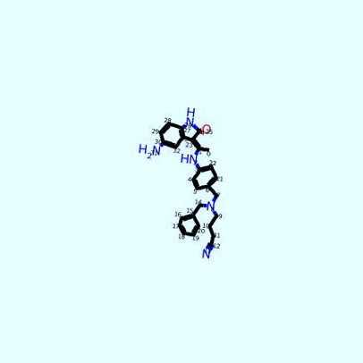 CC(Nc1ccc(CN(CCCC#N)Cc2ccccc2)cc1)=C1C(=O)Nc2ccc(N)cc21